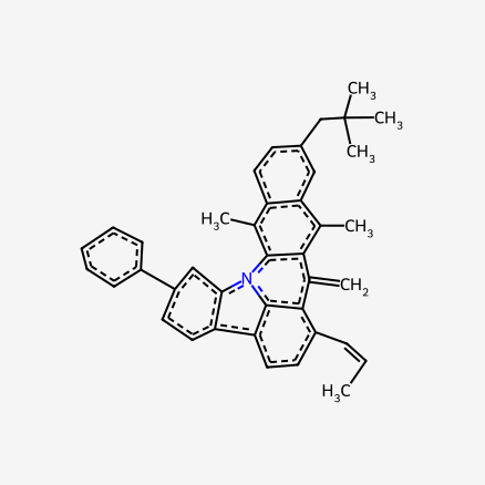 C=c1c2c(C)c3cc(CC(C)(C)C)ccc3c(C)c2n2c3cc(-c4ccccc4)ccc3c3ccc(/C=C\C)c1c32